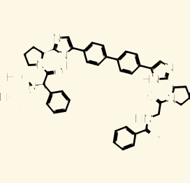 CN(C(=O)O)[C@@H](C(=O)N1CCC[C@H]1c1ncc(-c2ccc(-c3ccc(-c4cnc([C@@H]5CCCN5C(=O)CNC(=O)c5ccccc5)[nH]4)cc3)cc2)[nH]1)c1ccccc1